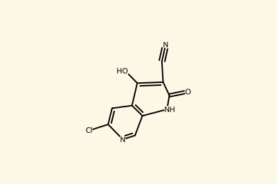 N#Cc1c(O)c2cc(Cl)ncc2[nH]c1=O